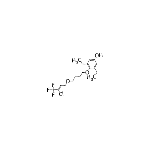 CCc1cc(O)cc(CC)c1OCCCCOCC=C(Cl)C(F)(F)F